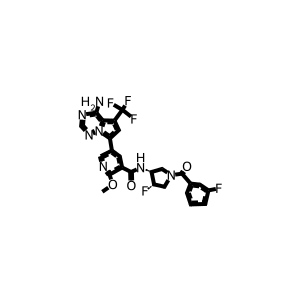 COc1ncc(-c2cc(C(F)(F)F)c3c(N)ncnn23)cc1C(=O)N[C@@H]1CN(C(=O)c2cccc(F)c2)C[C@@H]1F